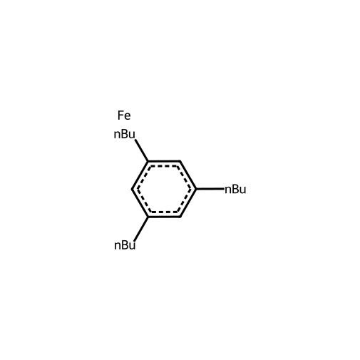 CCCCc1cc(CCCC)cc(CCCC)c1.[Fe]